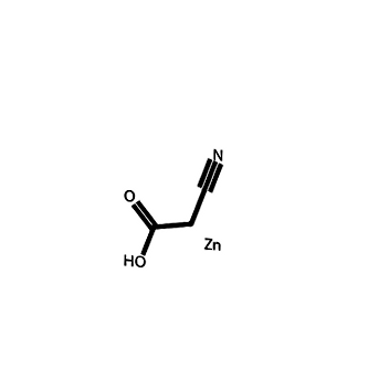 N#CCC(=O)O.[Zn]